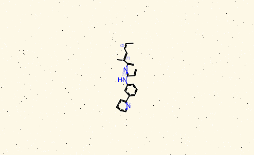 C=C/C(=N\C(=C)/C(C)=C/C=C\C)Nc1cccc(-c2ccccn2)c1